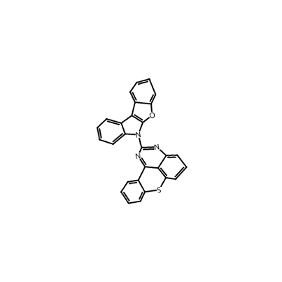 c1ccc2c(c1)Sc1cccc3nc(-n4c5ccccc5c5c6ccccc6oc54)nc-2c13